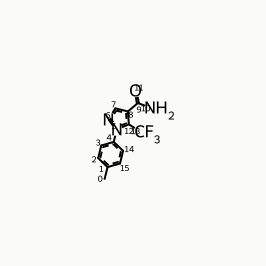 Cc1ccc(-n2ncc(C(N)=O)c2C(F)(F)F)cc1